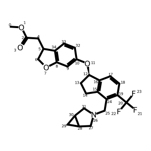 COC(=O)CC1COc2cc(O[C@@H]3CCc4c3ccc(C(F)(F)F)c4CN3CC4CC4C3)ccc21